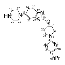 CCCc1cnc(N2CCC(Oc3nc4ccc(N5CCNCC5)cc4s3)CC2)nc1